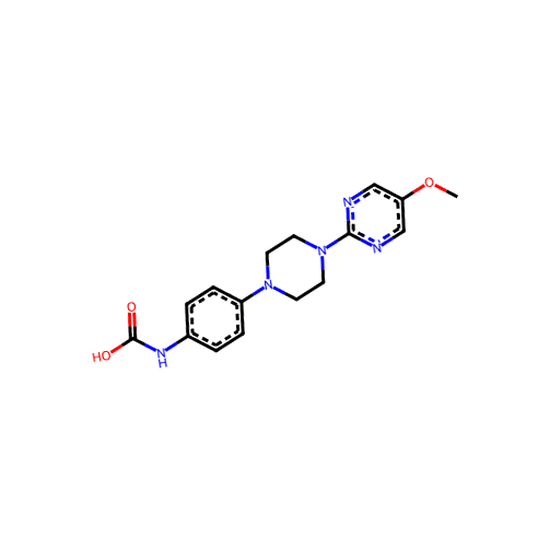 COc1cnc(N2CCN(c3ccc(NC(=O)O)cc3)CC2)nc1